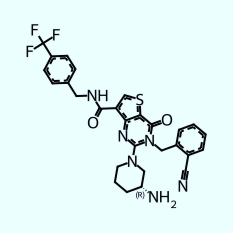 N#Cc1ccccc1Cn1c(N2CCC[C@@H](N)C2)nc2c(C(=O)NCc3ccc(C(F)(F)F)cc3)csc2c1=O